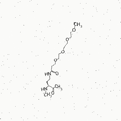 CN[C@@H](CCNC(=O)CCOCCOCCOCCOC)C(C)=O